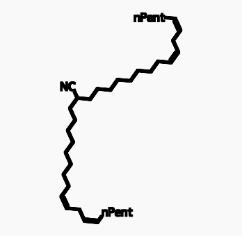 CCCCC/C=C\C/C=C\CCCCCCCCC(C#N)CCCCCCCC/C=C\C/C=C\CCCCC